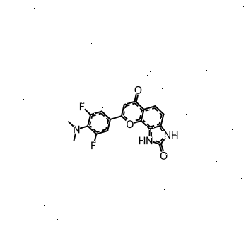 CN(C)c1c(F)cc(-c2cc(=O)c3ccc4[nH]c(=O)[nH]c4c3o2)cc1F